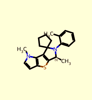 Cc1ccccc1N1[C@@H](C)c2sc3ccn(C)c3c2C12CCCC2